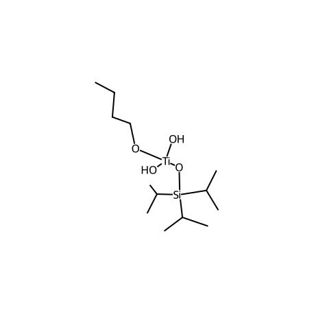 CCCC[O][Ti]([OH])([OH])[O][Si](C(C)C)(C(C)C)C(C)C